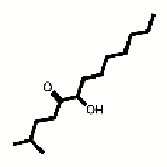 CCCCCCCC(O)C(=O)CCC(C)C